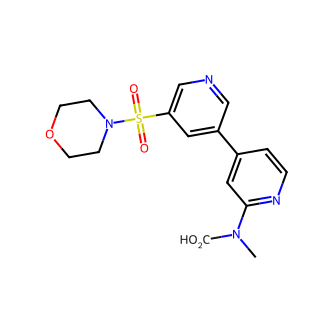 CN(C(=O)O)c1cc(-c2cncc(S(=O)(=O)N3CCOCC3)c2)ccn1